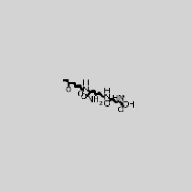 CCC(=O)CCCC(=O)NC(CCCCNC(=O)CCC(NC)C(=O)O)C(N)=O